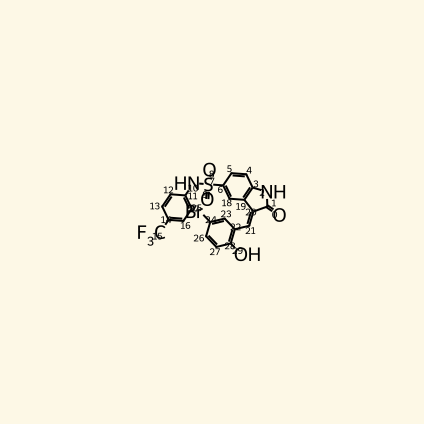 O=C1Nc2ccc(S(=O)(=O)Nc3ccc(C(F)(F)F)cc3)cc2C1=Cc1cc(Br)ccc1O